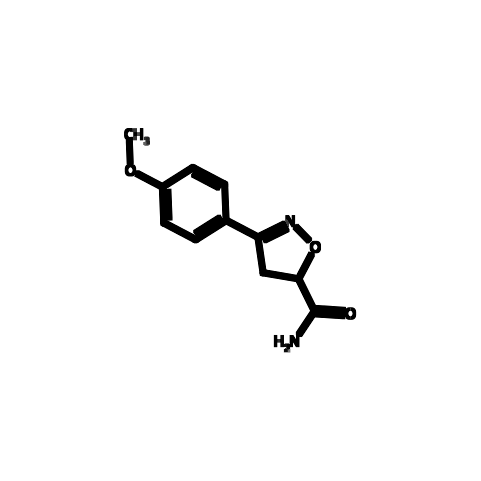 COc1ccc(C2=NOC(C(N)=O)C2)cc1